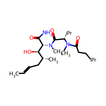 C/C=C/C[C@@H](C)[C@@H](O)[C@H](C(N)=O)N(C)C(=O)[C@H](C(C)C)N(C)C(=O)CCC(C)C